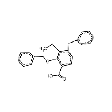 CCc1c(Cc2ccccc2)ccc(C(=O)O)c1OCc1ccccc1